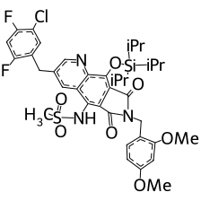 COc1ccc(CN2C(=O)c3c(c(O[Si](C(C)C)(C(C)C)C(C)C)c4ncc(Cc5cc(Cl)c(F)cc5F)cc4c3NS(C)(=O)=O)C2=O)c(OC)c1